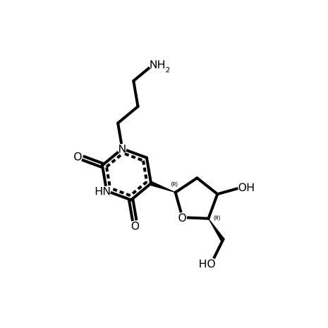 NCCCn1cc([C@H]2CC(O)[C@@H](CO)O2)c(=O)[nH]c1=O